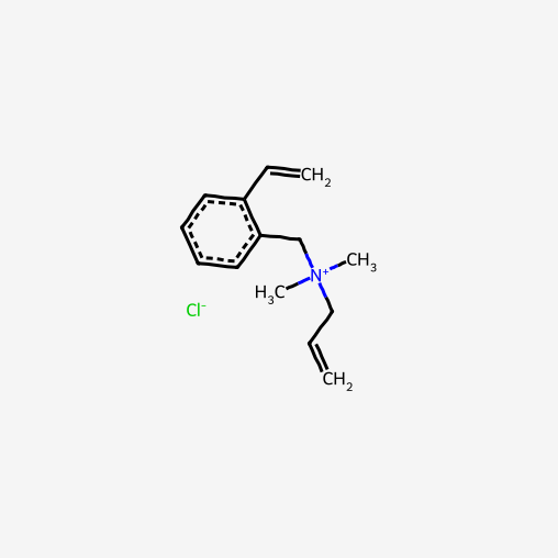 C=CC[N+](C)(C)Cc1ccccc1C=C.[Cl-]